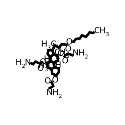 CCCCCCCCOC(=O)CC[C@@H](C)C1CC[C@H]2C3[C@H](OC(=O)CCN)CC4C[C@H](OC(=O)CCN)CCC4(C)[C@H]3C[C@H](OC(=O)CCN)C12C